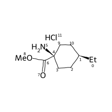 CC[C@H]1CC[C@](N)(C(=O)OC)CC1.Cl